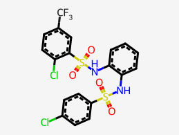 O=S(=O)(Nc1ccccc1NS(=O)(=O)c1cc(C(F)(F)F)ccc1Cl)c1ccc(Cl)cc1